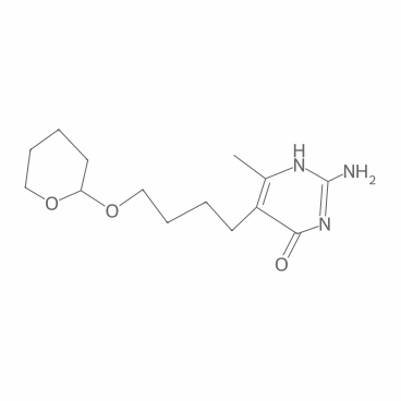 Cc1[nH]c(N)nc(=O)c1CCCCOC1CCCCO1